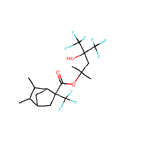 CC1C2CC(C1C)C(C(=O)OC(C)(C)CC(O)(C(F)(F)F)C(F)(F)F)(C(F)(F)F)C2